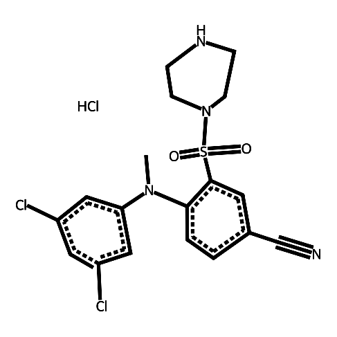 CN(c1cc(Cl)cc(Cl)c1)c1ccc(C#N)cc1S(=O)(=O)N1CCNCC1.Cl